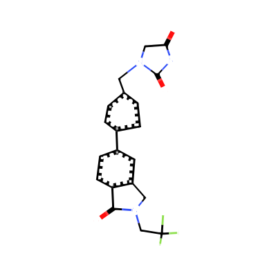 O=C1CN(Cc2ccc(-c3ccc4c(c3)CN(CC(F)(F)F)C4=O)cc2)C(=O)N1